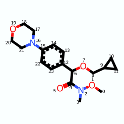 CON(C)C(=O)C(OCC1CC1)c1ccc(N2CCOCC2)cc1